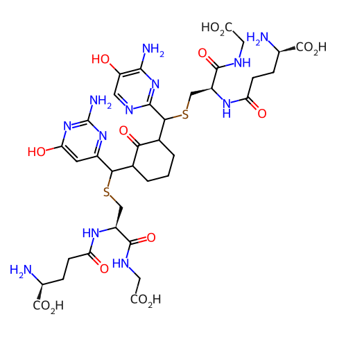 Nc1nc(O)cc(C(SC[C@H](NC(=O)CC[C@H](N)C(=O)O)C(=O)NCC(=O)O)C2CCCC(C(SC[C@H](NC(=O)CC[C@@H](N)C(=O)O)C(=O)NCC(=O)O)c3ncc(O)c(N)n3)C2=O)n1